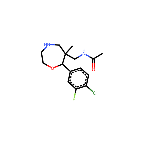 CC(=O)NCC1(C)CNCCOC1c1ccc(Cl)c(F)c1